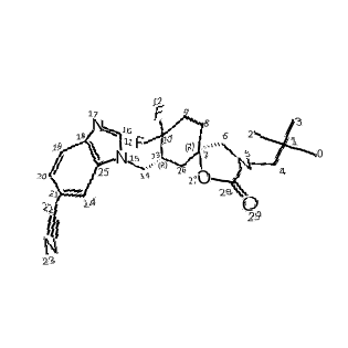 CC(C)(C)CN1C[C@]2(CCC(F)(F)[C@@H](Cn3cnc4ccc(C#N)cc43)C2)OC1=O